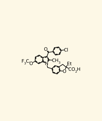 CCC1(C(=O)O)Cc2cc(Cn3c(C)c(C(=O)c4ccc(Cl)cc4)c4ccc(OC(F)(F)F)cc43)ccc2O1